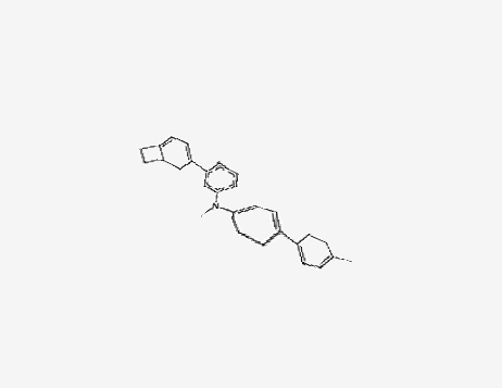 CC1=CC=C(C2=CC=C(N(C)c3cccc(C4=CC=C5CCC5C4)c3)CC2)CC1